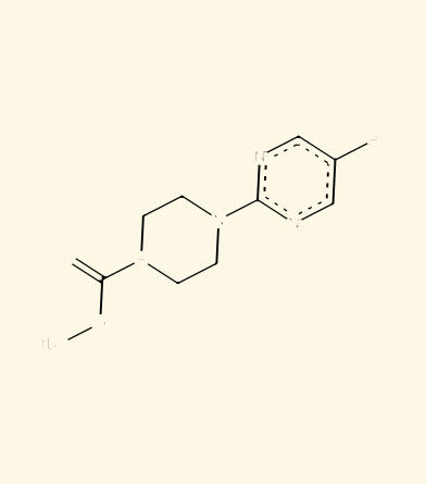 CC(C)(C)OC(=O)B1CCN(c2ncc(Br)cn2)CC1